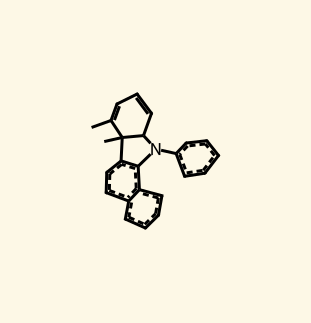 CC1=CC=CC2N(c3ccccc3)c3c(ccc4ccccc34)C12C